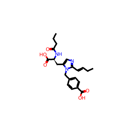 CCC=Cc1ncc(C[C@H](NC(=O)CCC)C(=O)O)n1Cc1ccc(C(=O)O)cc1